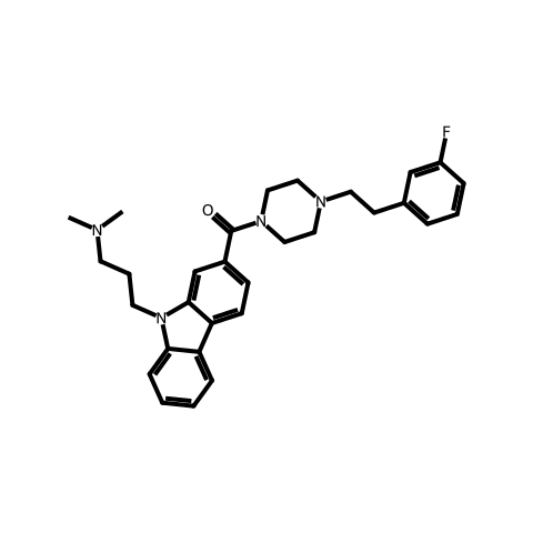 CN(C)CCCn1c2ccccc2c2ccc(C(=O)N3CCN(CCc4cccc(F)c4)CC3)cc21